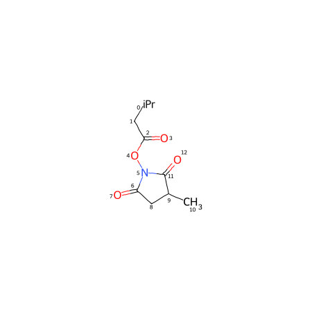 CC(C)CC(=O)ON1C(=O)CC(C)C1=O